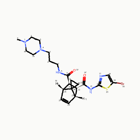 CN1CCN(CCCNC(=O)[C@H]2[C@H](C(=O)Nc3ncc(Br)s3)[C@@H]3C=C[C@H]2C32CC2)CC1